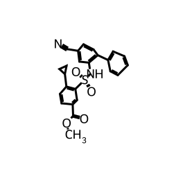 COC(=O)c1ccc(C2CC2)c(S(=O)(=O)Nc2cc(C#N)ccc2-c2ccccc2)c1